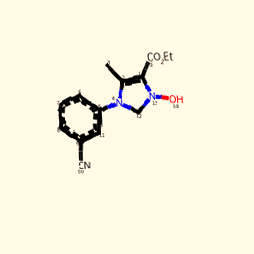 CCOC(=O)C1=C(C)N(c2cccc(C#N)c2)CN1O